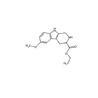 CCOC(=O)C1Cc2c([nH]c3ccc(OC)cc23)CN1